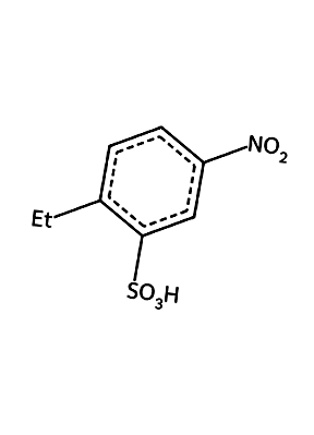 CCc1ccc([N+](=O)[O-])cc1S(=O)(=O)O